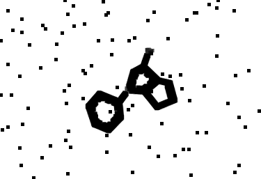 Brc1cp(-c2ccccc2)c2c1C=CC2